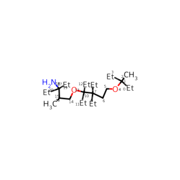 CCC(C)(CC)OCCC(CC)(CC)C(CC)(CC)OCC(C)C(N)(CC)CC